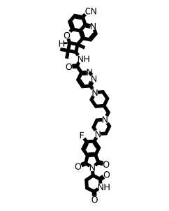 CC1(C)C(NC(=O)c2ccc(N3CCC(CN4CCN(c5cc6c(cc5F)C(=O)N(C5CCC(=O)NC5=O)C6=O)CC4)CC3)nn2)C2(C)c3ccnc4c(C#N)ccc(c34)O[C@@H]12